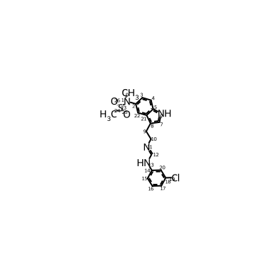 CN(c1ccc2[nH]cc(CCN=CNc3cccc(Cl)c3)c2c1)S(C)(=O)=O